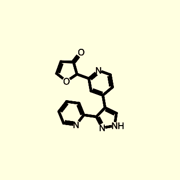 O=C1C=COC1c1cc(-c2c[nH]nc2-c2ccccn2)ccn1